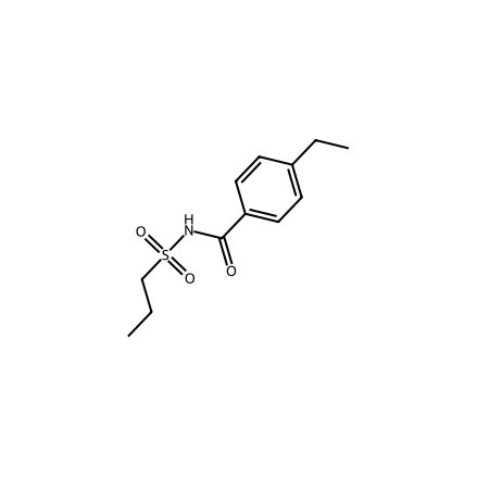 CCCS(=O)(=O)NC(=O)c1ccc(CC)cc1